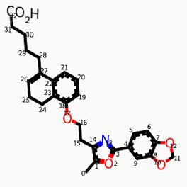 Cc1oc(-c2ccc3c(c2)OCO3)nc1CCOc1cccc2c1CCC=C2CCCCC(=O)O